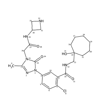 Cc1nn(-c2ccc(Cl)c(C(=O)NCC3(O)CCCCCC3)c2)c(=O)n1CC(=O)NC1CNC1